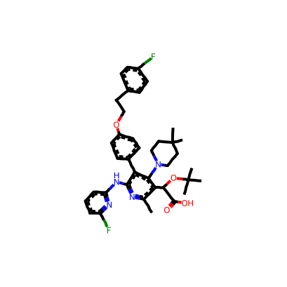 Cc1nc(Nc2cccc(F)n2)c(-c2ccc(OCCc3ccc(F)cc3)cc2)c(N2CCC(C)(C)CC2)c1C(OC(C)(C)C)C(=O)O